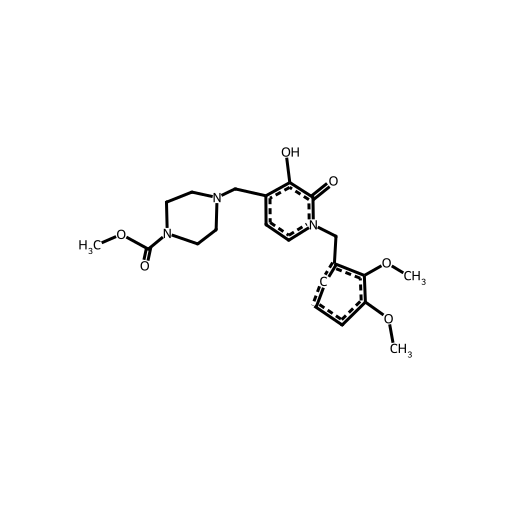 COC(=O)N1CCN(Cc2ccn(Cc3cccc(OC)c3OC)c(=O)c2O)CC1